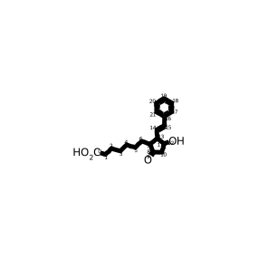 O=C(O)CCCCCCC1C(=O)CC(O)C1C=Cc1ccccc1